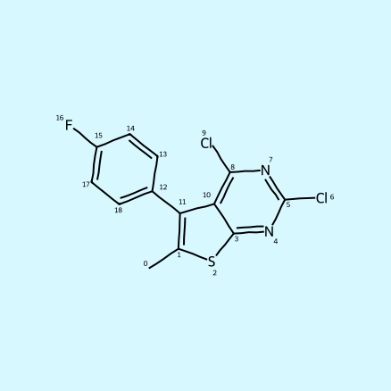 Cc1sc2nc(Cl)nc(Cl)c2c1-c1ccc(F)cc1